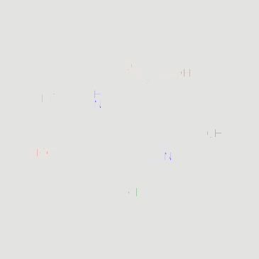 CCc1nc(Cl)cc(N[C@@H](C)CO)c1C(=O)O